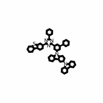 c1ccc(-c2cc(-c3nc(-c4ccccc4)nc(-c4ccc5c(c4)sc4ccccc45)n3)cc(-n3c4ccccc4c4cc(-n5c6ccccc6c6ccccc65)ccc43)c2)cc1